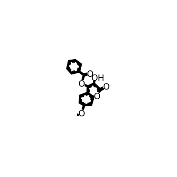 COc1ccc2c(OC(=O)c3ccccc3)c(O)c(=O)oc2c1